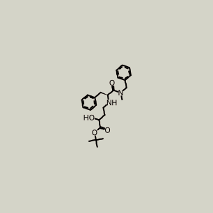 CN(Cc1ccccc1)C(=O)[C@H](Cc1ccccc1)NCCC(O)C(=O)OC(C)(C)C